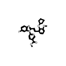 COC(=O)c1ccc(-n2c(C=Cc3cccc(OC)c3OC3CCCC3)nc3ccc(F)cc32)nc1